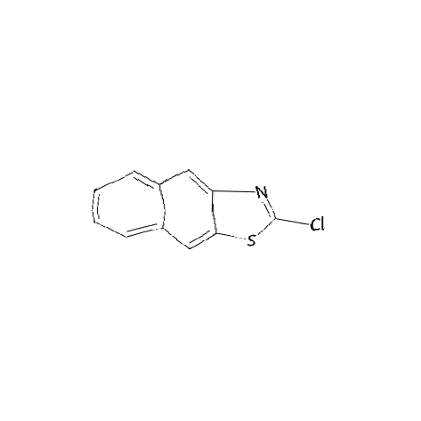 Clc1nc2cc3ccccc3cc2s1